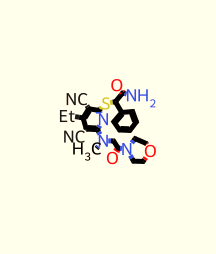 CCc1c(C#N)c(SC(C(N)=O)c2ccccc2)nc(N(C)CC(=O)N2CCOCC2)c1C#N